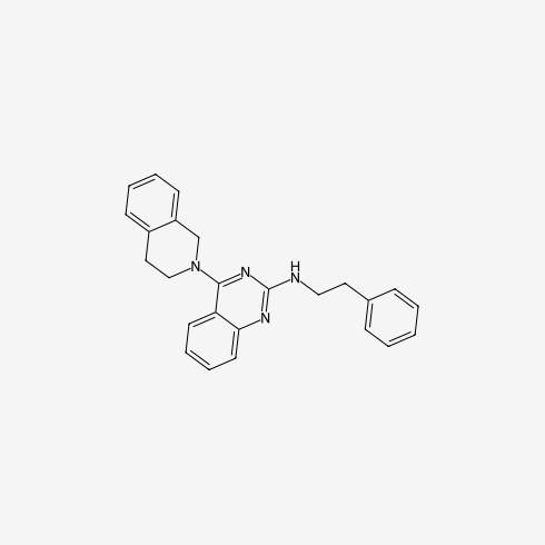 c1ccc(CCNc2nc(N3CCc4ccccc4C3)c3ccccc3n2)cc1